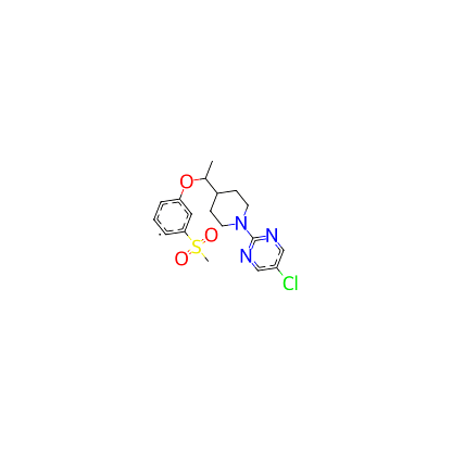 CC(Oc1cc[c]c(S(C)(=O)=O)c1)C1CCN(c2ncc(Cl)cn2)CC1